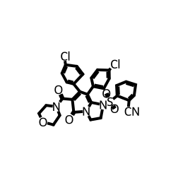 N#Cc1ccccc1S(=O)(=O)N1CCn2c1c(-c1ccc(Cl)cc1)c(-c1ccc(Cl)cc1)c(C(=O)N1CCOCC1)c2=O